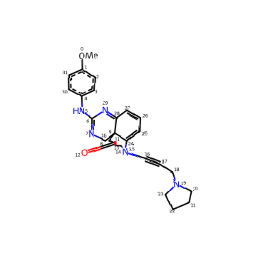 COc1ccc(NC2=NCC34CC(=O)CCN(C#CCN5CCCC5)C3=CC=CC4=N2)cc1